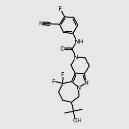 CC(C)(O)C1CCC(F)(F)c2c3c(nn2C1)CCN(C(=O)Nc1ccc(F)c(C#N)c1)C3